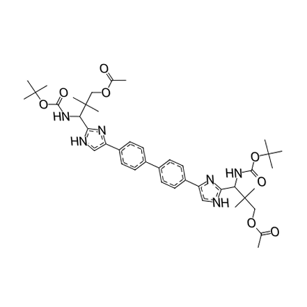 CC(=O)OCC(C)(C)C(NC(=O)OC(C)(C)C)c1nc(-c2ccc(-c3ccc(-c4c[nH]c(C(NC(=O)OC(C)(C)C)C(C)(C)COC(C)=O)n4)cc3)cc2)c[nH]1